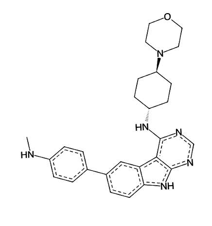 CNc1ccc(-c2ccc3[nH]c4ncnc(N[C@H]5CC[C@H](N6CCOCC6)CC5)c4c3c2)cc1